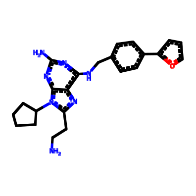 NCCc1nc2c(NCc3ccc(-c4ccco4)cc3)nc(N)nc2n1C1CCCC1